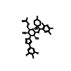 CC(=O)OC[C@H]1O[C@@H](SC(c2nc(C)c(C)nc2C)C2(O)CCN(C)CC2)[C@H](O)[C@@H](n2cc(-c3cc(F)c(F)c(F)c3)nn2)[C@H]1O